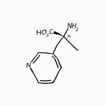 C[C@](N)(C(=O)O)c1cccnc1